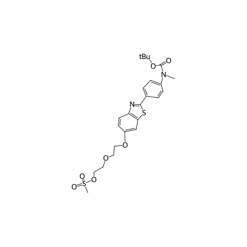 CN(C(=O)OC(C)(C)C)c1ccc(-c2nc3ccc(OCCOCCOS(C)(=O)=O)cc3s2)cc1